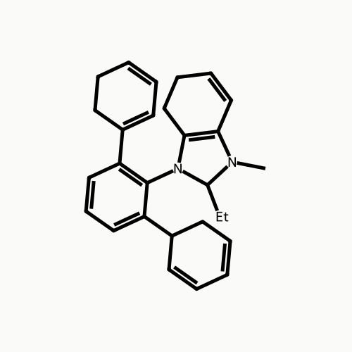 CCC1N(C)C2=C(CCC=C2)N1c1c(C2=CC=CCC2)cccc1C1C=CC=CC1